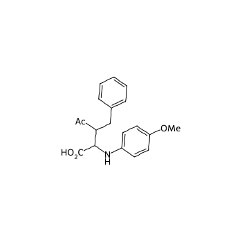 COc1ccc(NC(C(=O)O)C(Cc2ccccc2)C(C)=O)cc1